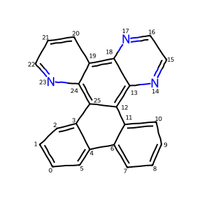 c1ccc2c(c1)c1ccccc1c1c3nccnc3c3cccnc3c21